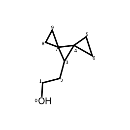 OCCC1C2(CC2)C12CC2